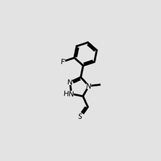 CN1C(c2ccccc2F)=NNC1C=S